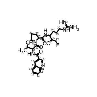 CC(C)C(NC(=O)c1cnc2ccccc2c1)C(=O)N1CCCC1C(=O)NC(CCCNC(=N)N)C(=O)CF